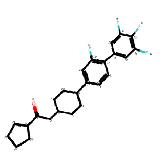 O=C(CC1CCC(c2ccc(-c3cc(F)c(F)c(F)c3)c(F)c2)CC1)C1CCCC1